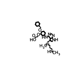 CNCCCN(C)Cc1c[nH]c2ncnc(Nc3ccc(OCc4ccccc4)c(OCC(=O)O)c3)c12